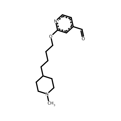 CN1CCC(CCCCOc2cc(C=O)ccn2)CC1